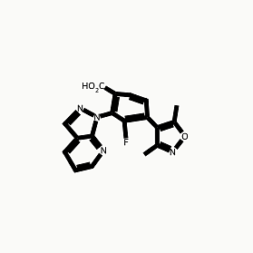 Cc1noc(C)c1-c1ccc(C(=O)O)c(-n2ncc3cccnc32)c1F